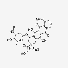 COc1cccc2c1C(=O)c1c(O)c3c(c(O)c1C2=O)C[C@@](O)(C(=O)CO)C[C@@H]3OC1CC(NF)C(O)C(C)O1.Cl